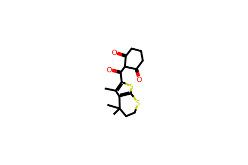 Cc1c(C(=O)C2C(=O)CCCC2=O)sc2c1C(C)(C)CCS2